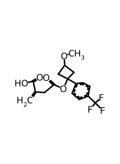 C=C(CC(=O)OC1(c2ccc(C(F)(F)F)cc2)CC(OC)C1)C(=O)O